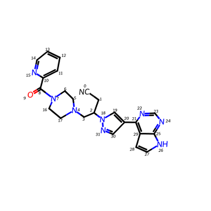 N#CCC(CN1CCN(C(=O)c2ccccn2)CC1)n1cc(-c2ncnc3[nH]ccc23)cn1